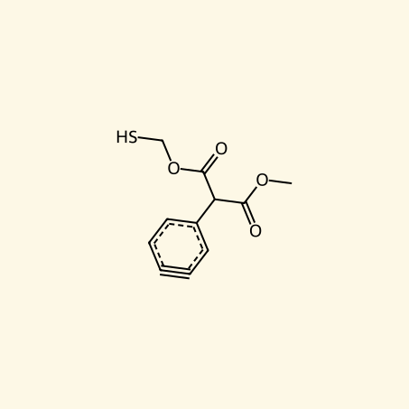 COC(=O)C(C(=O)OCS)c1cc#ccc1